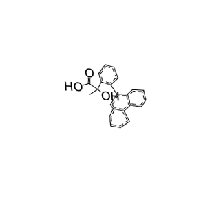 CC(O)(C(=O)O)c1ccccc1-c1cc2ccccc2c2ccccc12